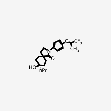 CCC[C@]1(O)CC[C@]2(CCN(c3ccc(OC(C)C(F)(F)F)cc3)C2=O)CC1